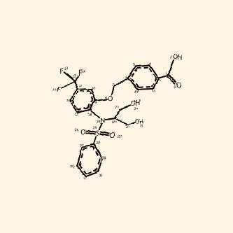 O=C(O)c1ccc(COc2cc(C(F)(F)F)ccc2N(C(CO)CO)S(=O)(=O)c2ccccc2)cc1